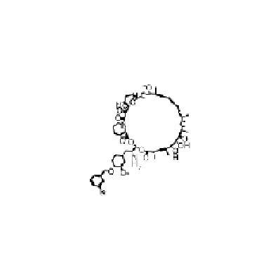 CO[C@H]1C[C@@H]2CC[C@@H](C)[C@@](O)(O2)C(=O)C(=O)N2CCCC[C@H]2C(=O)O[C@H]([C@H](N)C[C@@H]2CC[C@@H](OCc3cccc(Br)c3)[C@H](OC)C2)CC(=O)[C@H](C)/C=C(\C)[C@@H](O)[C@@H](O)C(=O)[C@H](C)C[C@H](C)/C=C/C=C/C=C/1C